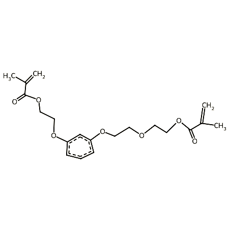 C=C(C)C(=O)OCCOCCOc1cccc(OCCOC(=O)C(=C)C)c1